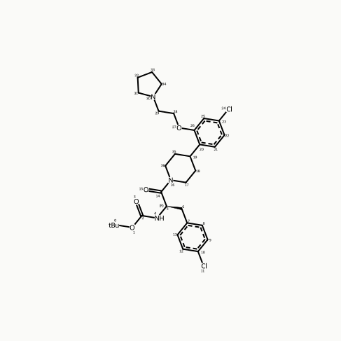 CC(C)(C)OC(=O)N[C@H](Cc1ccc(Cl)cc1)C(=O)N1CCC(c2ccc(Cl)cc2OCCN2CCCC2)CC1